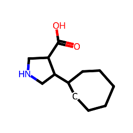 O=C(O)C1CNCC1C1CCCCCC1